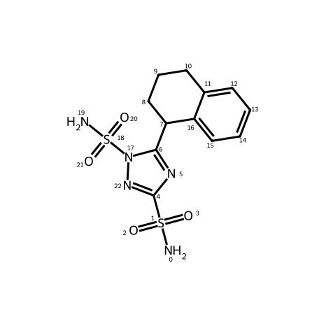 NS(=O)(=O)c1nc(C2CCCc3ccccc32)n(S(N)(=O)=O)n1